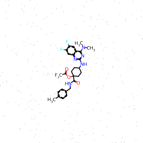 Cc1ccc(CNC(=O)C2(OC(=O)C(F)(F)F)CCC(Nc3nc(N(C)C)c4cc(F)c(F)cc4n3)CC2)cc1